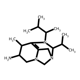 CC(C)C(C)N1C2=C3CN(CN3CC(N)C2C)C1C(C)C